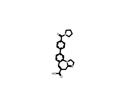 O=C(O)C1=Cc2ccc(-c3ccc(C(=O)N4CCCC4)cc3)cc2N2CCN=C2C1